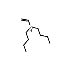 C=[CH][SnH]([CH2]CCC)[CH2]CCC